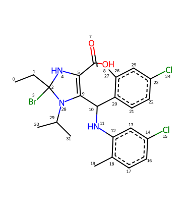 CCC1(Br)NC(C(=O)O)=C(C(Nc2cc(Cl)ccc2C)c2ccc(Cl)cc2C)N1C(C)C